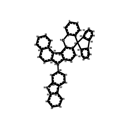 c1ccc2c(c1)Oc1c(ccc3c1c1c4ccccc4ccc1n3-c1ccc3c(c1)sc1ccccc13)C21c2ccccc2-c2ccccc21